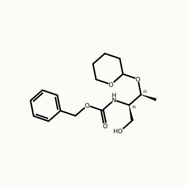 C[C@H](OC1CCCCO1)[C@@H](CO)NC(=O)OCc1ccccc1